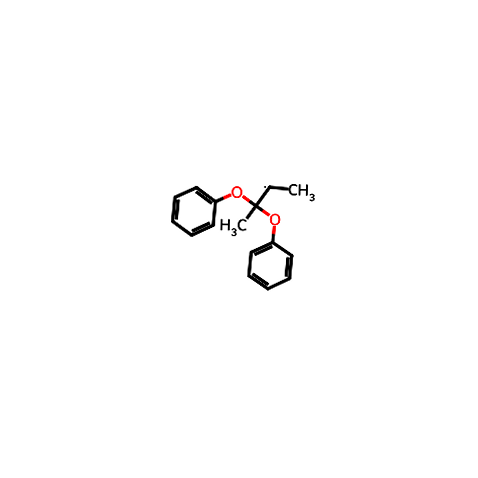 C[CH]C(C)(Oc1ccccc1)Oc1ccccc1